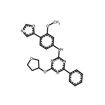 COc1cc(Nc2nc(OC3CCOC3)nc(-c3ccccc3)n2)ccc1-c1cnco1